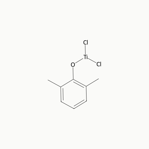 Cc1cccc(C)c1[O][Ti]([Cl])[Cl]